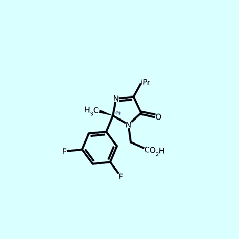 CC(C)C1=N[C@@](C)(c2cc(F)cc(F)c2)N(CC(=O)O)C1=O